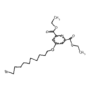 CCOC(=O)c1cc(OCCCCCCCCCCBr)cc(C(=O)OCC)n1